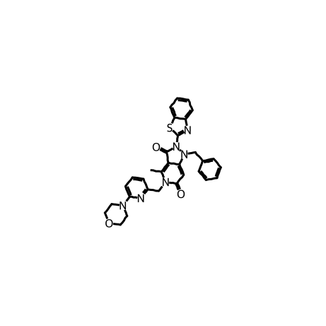 Cc1c2c(=O)n(-c3nc4ccccc4s3)n(Cc3ccccc3)c2cc(=O)n1Cc1cccc(N2CCOCC2)n1